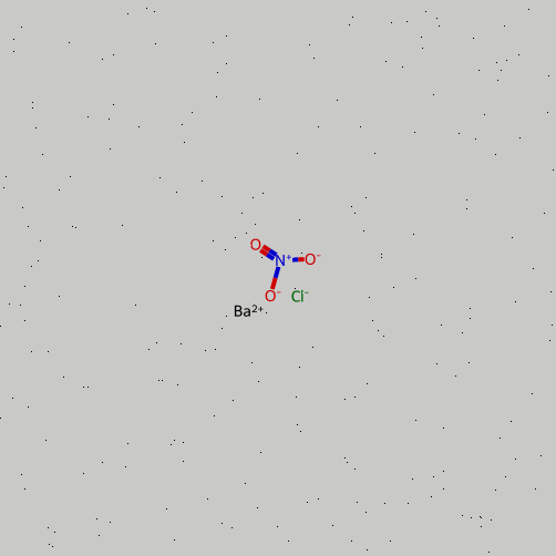 O=[N+]([O-])[O-].[Ba+2].[Cl-]